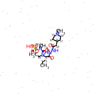 CCC[C@@H](C(=O)NNC(=O)CC1CCN(C)CC1)N(CC)C(=O)N(C)OS(=O)(=O)O